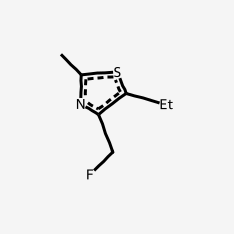 CCc1sc(C)nc1CF